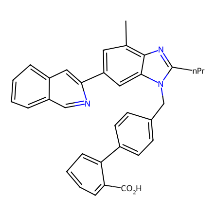 CCCc1nc2c(C)cc(-c3cc4ccccc4cn3)cc2n1Cc1ccc(-c2ccccc2C(=O)O)cc1